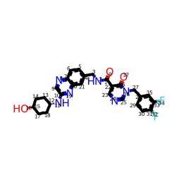 O=C(NCc1ccc2ncc(N[C@H]3CC[C@H](O)CC3)nc2c1)c1cncn(Cc2ccc(F)c(F)c2)c1=O